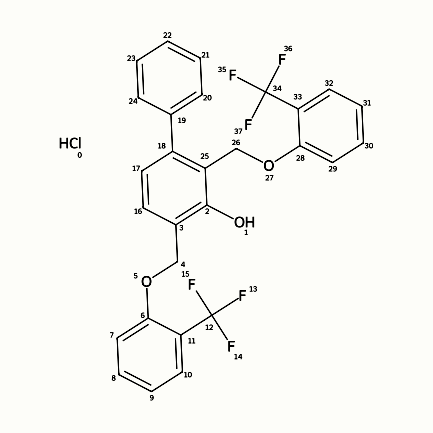 Cl.Oc1c(COc2ccccc2C(F)(F)F)ccc(-c2ccccc2)c1COc1ccccc1C(F)(F)F